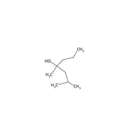 CCCC(C)(O)CC(C)C